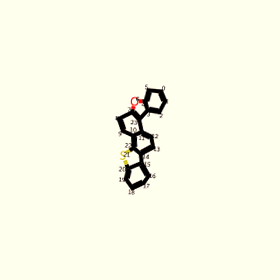 c1ccc2c(c1)oc1ccc3c(ccc4c5ccccc5sc43)c12